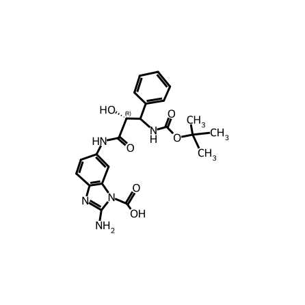 CC(C)(C)OC(=O)NC(c1ccccc1)[C@@H](O)C(=O)Nc1ccc2nc(N)n(C(=O)O)c2c1